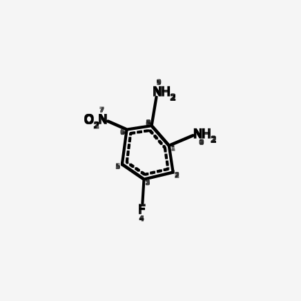 Nc1cc(F)cc([N+](=O)[O-])c1N